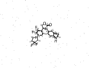 O=C1OCC(c2ccc(N3CCC(F)(F)C3)c(F)c2F)N1c1ccc2[nH]cnc2c1